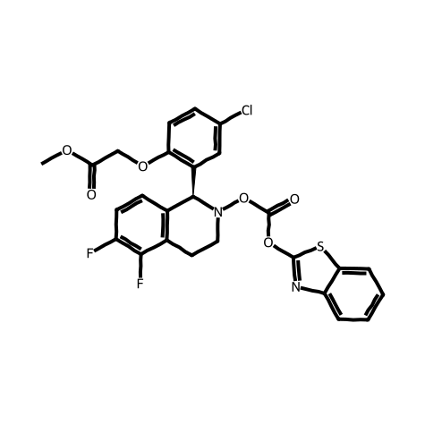 COC(=O)COc1ccc(Cl)cc1[C@@H]1c2ccc(F)c(F)c2CCN1OC(=O)Oc1nc2ccccc2s1